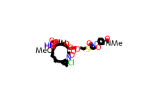 CNC(=O)[C@H]1CC[C@H](CN2C(=O)CC(SCCCOCC(=O)O[C@H]3CC(=O)N(C)c4cc(cc(C)c4Cl)C/C(C)=C/C=C/[C@@H](OC)[C@@]4(O)C[C@H](OC(=O)N4)[C@@H](C)[C@@H]4O[C@@]34C)C2=O)CC1